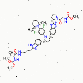 COC(=O)NCC(=O)N1CCC[C@H]1c1nc2cc([C@H]3CC[C@H](c4ccc5[nH]c(CCCCNC(=O)C(NC(=O)OC)C(C)C)nc5c4)N3c3cc(F)c(N4[C@H](C)CCC[C@@H]4C)c(F)c3)ccc2[nH]1